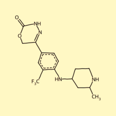 CC1CC(Nc2ccc(C3=NNC(=O)OC3)cc2C(F)(F)F)CCN1